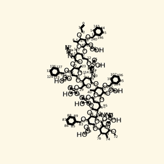 C=CCO[C@@H]1C(C)O[C@@H](O[C@@H]2C(COS(=O)(=O)O)O[C@@H](O[C@@H]3C(C)O[C@@H](O[C@@H]4C(COS(=O)(=O)O)O[C@@H](O[C@H]5C(C)O[C@@H](O[C@@H]6C(COS(=O)(=O)O)O[C@@H](O[C@@H]7C(C)O[C@@H](O[C@@H]8C(COS(=O)(=O)O)O[C@@H](OC)C(C)[C@H]8C)C(OOO)[C@@H]7OCc7ccccc7)C(N=[N+]=[N-])[C@H]6C)C(OOO)[C@@H]5OCc5ccccc5)C(N=[N+]=[N-])[C@H]4C)C(OOO)[C@@H]3OCc3ccccc3)C(N=[N+]=[N-])[C@H]2C)C(OOO)[C@@H]1OCc1ccccc1